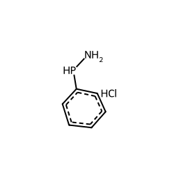 Cl.NPc1ccccc1